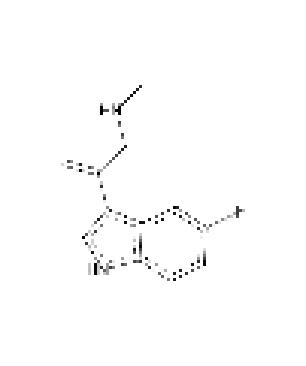 C=C(CNC)c1c[nH]c2ccc(F)cc12